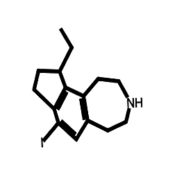 CCC1CCc2c(I)cc3c(c21)CCNCC3